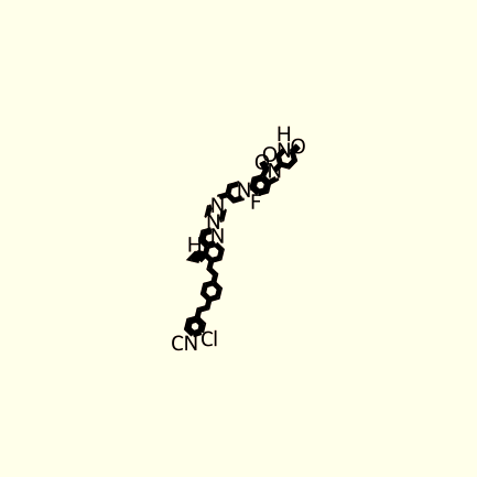 N#Cc1ccc(CCC2CCC(CCC3CCc4nc(N5CCN(CC6CCN(c7cc8c(cc7F)CN(C7CCC(=O)NC7=O)C8=O)CC6)CC5)ccc4C34C3C[C@H]34)CC2)cc1Cl